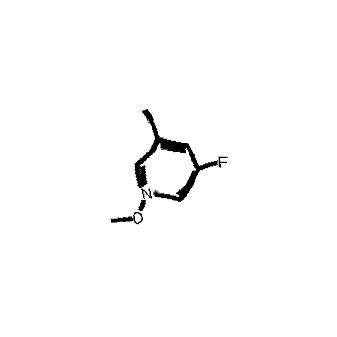 CO[n+]1cc(C)cc(F)c1